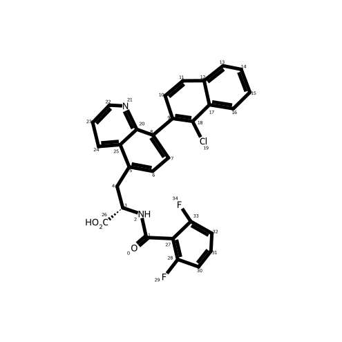 O=C(N[C@@H](Cc1ccc(-c2ccc3ccccc3c2Cl)c2ncccc12)C(=O)O)c1c(F)cccc1F